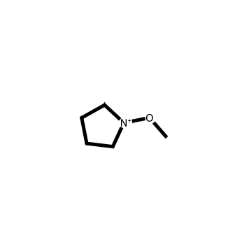 CO[N+]1[CH]CCC1